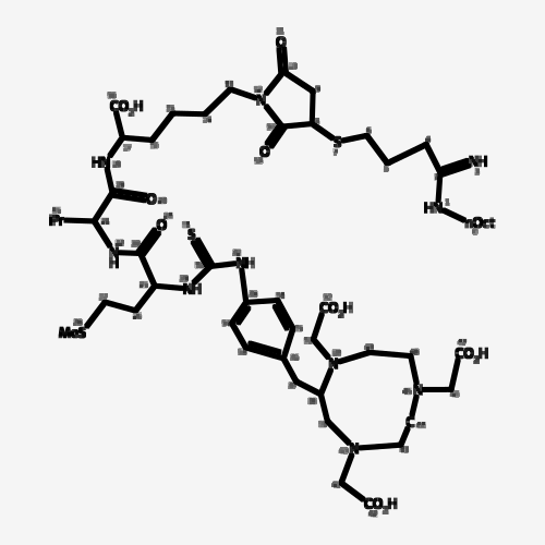 CCCCCCCCNC(=N)CCCSC1CC(=O)N(CCCCC(NC(=O)C(NC(=O)C(CCSC)NC(=S)Nc2ccc(CC3CN(CC(=O)O)CCN(CC(=O)O)CCN3CC(=O)O)cc2)C(C)C)C(=O)O)C1=O